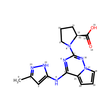 Cc1cc(Nc2nc(N3CCC[C@H]3C(=O)O)nn3cccc23)[nH]n1